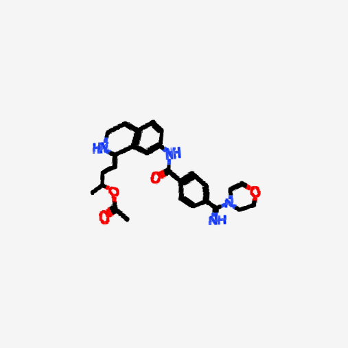 CC(=O)OC(C)CCC1NCCc2ccc(NC(=O)c3ccc(C(=N)N4CCOCC4)cc3)cc21